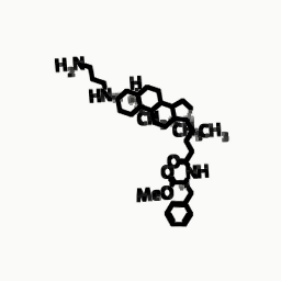 COC(=O)[C@H](Cc1ccccc1)NC(=O)CC[C@@H](C)[C@H]1CCC2C3CC[C@@H]4C[C@@H](NCCCN)CC[C@]4(C)C3CC[C@@]21C